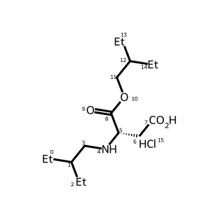 CCC(CC)CN[C@@H](CC(=O)O)C(=O)OCC(CC)CC.Cl